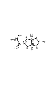 C[C@@H]1C[C@@H]2CN(C(=O)N(C)C)C[C@@H]2C1